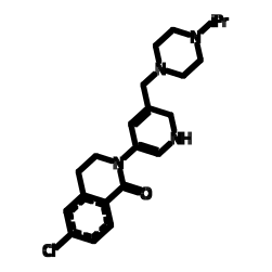 CC(C)N1CCN(CC2=CC(N3CCc4cc(Cl)ccc4C3=O)=CNC2)CC1